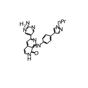 CCCn1cc(-c2ccc(Nc3nc(-c4cnc(N)nc4)cc4cc[nH]c(=O)c34)cc2)cn1